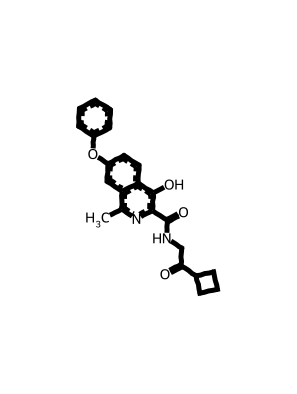 Cc1nc(C(=O)NCC(=O)C2CCC2)c(O)c2ccc(Oc3ccccc3)cc12